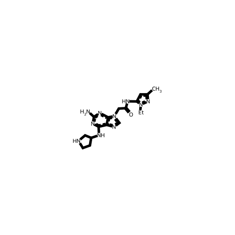 CCn1nc(C)cc1NC(=O)Cn1cnc2c(NC3CCNC3)nc(N)nc21